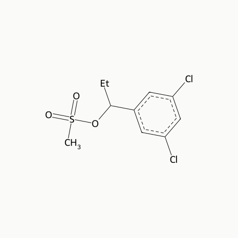 CCC(OS(C)(=O)=O)c1cc(Cl)cc(Cl)c1